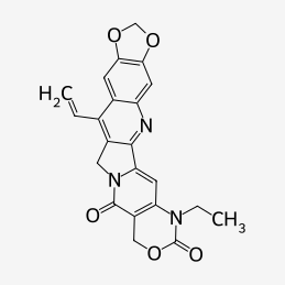 C=Cc1c2c(nc3cc4c(cc13)OCO4)-c1cc3c(c(=O)n1C2)COC(=O)N3CC